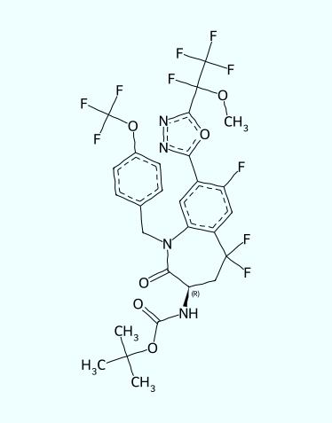 COC(F)(c1nnc(-c2cc3c(cc2F)C(F)(F)C[C@@H](NC(=O)OC(C)(C)C)C(=O)N3Cc2ccc(OC(F)(F)F)cc2)o1)C(F)(F)F